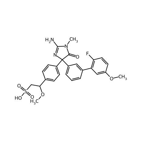 COc1ccc(F)c(-c2cccc(C3(c4ccc(C(CS(=O)(=O)O)OC)cc4)N=C(N)N(C)C3=O)c2)c1